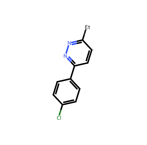 CCc1[c]cc(-c2ccc(Cl)cc2)nn1